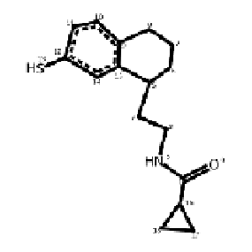 O=C(NCCC1CCCc2ccc(S)cc21)C1CC1